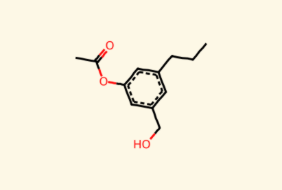 CCCc1cc(CO)cc(OC(C)=O)c1